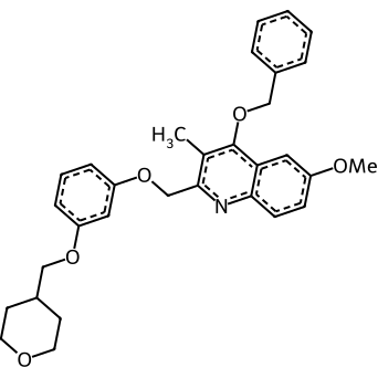 COc1ccc2nc(COc3cccc(OCC4CCOCC4)c3)c(C)c(OCc3ccccc3)c2c1